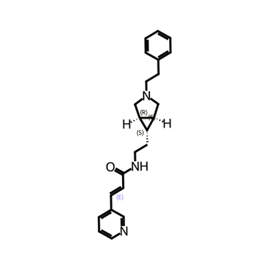 O=C(/C=C/c1cccnc1)NCC[C@@H]1[C@H]2CN(CCc3ccccc3)C[C@@H]12